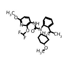 COc1ccc(NC(=O)N(c2ccccc2C(C)C)[C@H]2CC[C@@H](OC)CC2)c(OC(F)F)n1